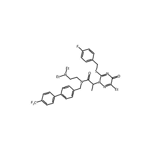 CCc1nn(C(C)C(=O)N(CCN(CC)CC)Cc2ccc(-c3ccc(C(F)(F)F)cc3)cc2)c(SCc2ccc(F)cc2)nc1=O